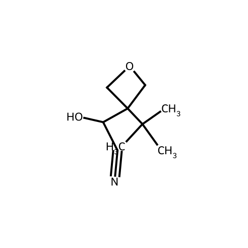 CC(C)(C)C1(C(O)C#N)COC1